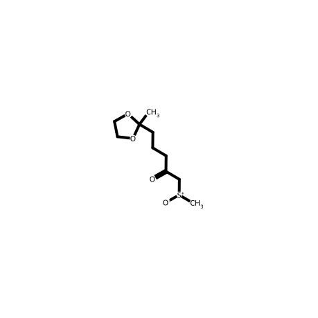 C[S+]([O-])CC(=O)CCCC1(C)OCCO1